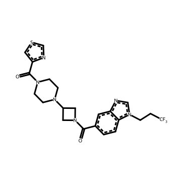 O=C(c1ccc2c(c1)ncn2CCC(F)(F)F)N1CC(N2CCN(C(=O)c3cscn3)CC2)C1